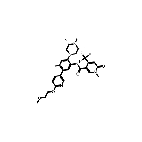 COCCOc1ccc(-c2cc(NC(=O)c3cn(C)c(=O)cc3C(F)(F)F)c(N3C[C@@H](C)N(C)[C@@H](C)C3)cc2F)cn1